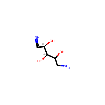 N=C[C@@H](O)[C@H](O)C(O)CN